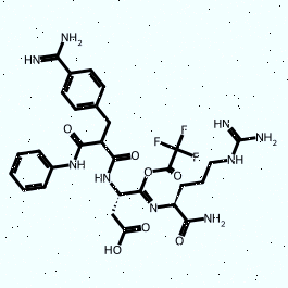 N=C(N)NCCC[C@H](N=C(OC(=O)C(F)(F)F)[C@H](CC(=O)O)NC(=O)C(Cc1ccc(C(=N)N)cc1)C(=O)Nc1ccccc1)C(N)=O